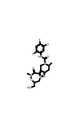 CC1Cc2nn3c(c2CN1C(=O)Nc1cc(Cl)c(F)cc1F)C(=O)N(C)OC(CO)C3